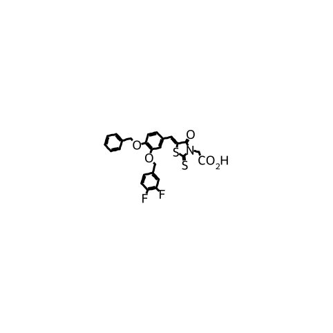 O=C(O)CN1C(=O)C(=Cc2ccc(OCc3ccccc3)c(OCc3ccc(F)c(F)c3)c2)SC1=S